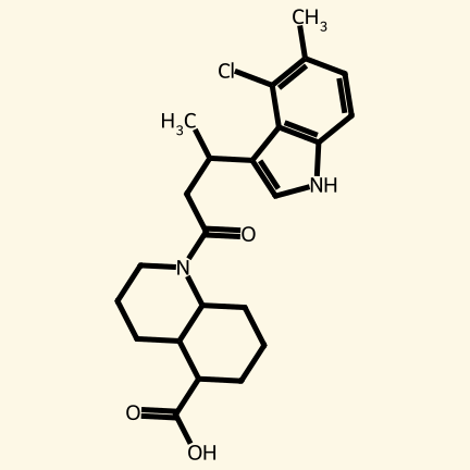 Cc1ccc2[nH]cc(C(C)CC(=O)N3CCCC4C(C(=O)O)CCCC43)c2c1Cl